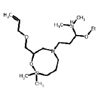 C=CCOCC1CN(CCC(OCC)[SiH](C)C)CCC[Si](C)(C)O1